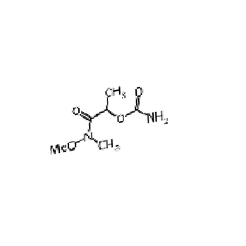 CON(C)C(=O)C(C)OC(N)=O